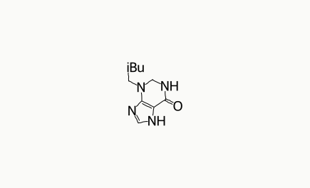 CCC(C)CN1CNC(=O)c2[nH]cnc21